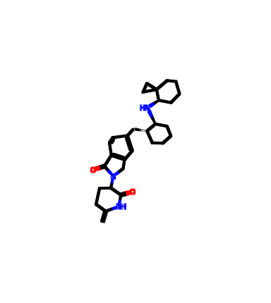 C=C1CCC(N2Cc3cc(C[C@H]4CCCC[C@@H]4N[C@@H]4CCCCC45CC5)ccc3C2=O)C(=O)N1